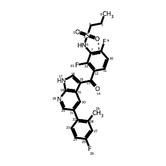 CCCS(=O)(=O)Nc1c(F)ccc(C(=O)c2c[nH]c3ncc(-c4ccc(F)cc4C)cc23)c1F